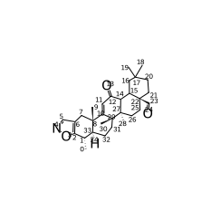 C[C@@H]1c2oncc2C[C@]2(C)C3=CC(=O)C4C5CC(C)(C)CC[C@]5(C=O)CC[C@@]4(C)[C@]3(C)CC[C@@H]12